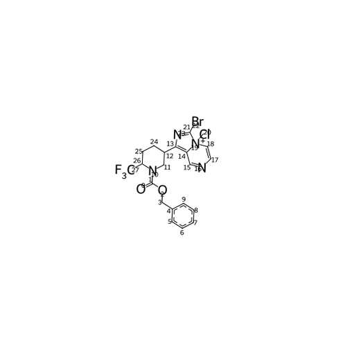 O=C(OCc1ccccc1)N1CC(C2=C3C=NC=C[N+]3(Cl)C(Br)=N2)CCC1C(F)(F)F